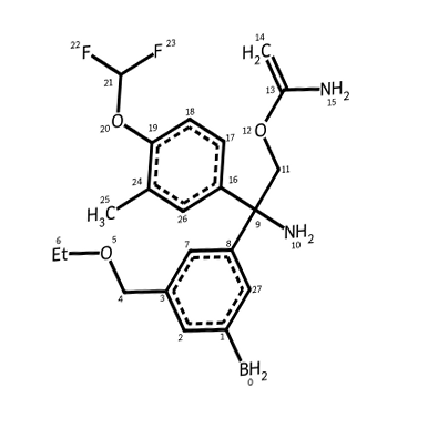 Bc1cc(COCC)cc(C(N)(COC(=C)N)c2ccc(OC(F)F)c(C)c2)c1